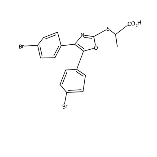 CC(Sc1nc(-c2ccc(Br)cc2)c(-c2ccc(Br)cc2)o1)C(=O)O